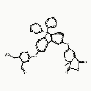 CC12CC=C(Oc3ccc4c(c3)-c3cc(Oc5ccc(CO)c(C=O)c5)ccc3C4(c3ccccc3)c3ccccc3)C=C1C(=O)OC2=O